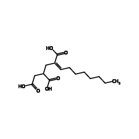 CCCCCCCC=C(CC(CC(=O)O)C(=O)O)C(=O)O